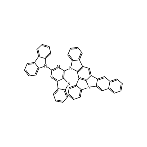 c1ccc2cc3c(cc2c1)c1cc2c4ccccc4n(-c4nc(-n5c6ccccc6c6ccccc65)nc5c4sc4ccccc45)c2c2c4ccccc4n3c12